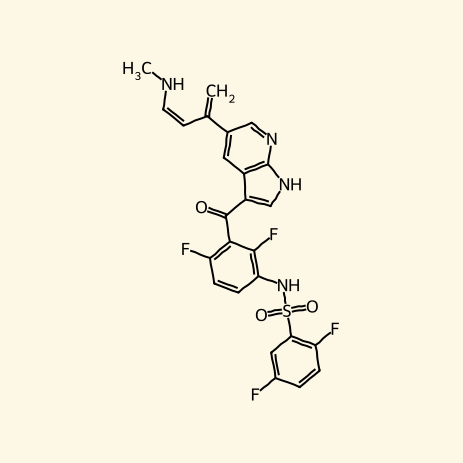 C=C(/C=C\NC)c1cnc2[nH]cc(C(=O)c3c(F)ccc(NS(=O)(=O)c4cc(F)ccc4F)c3F)c2c1